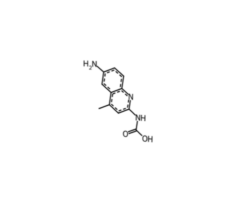 Cc1cc(NC(=O)O)nc2ccc(N)cc12